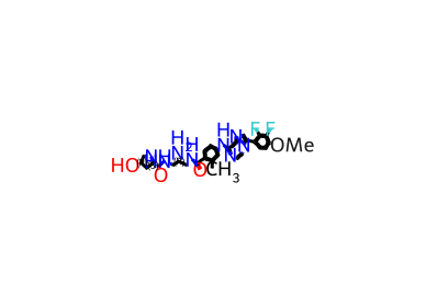 COc1ccc(-c2cnc3c(Nc4ccc(C(=O)NC[C@@H](N)CNC(=O)[C@@H]5C[C@@H](O)CN5)c(C)c4)nccn23)c(F)c1F